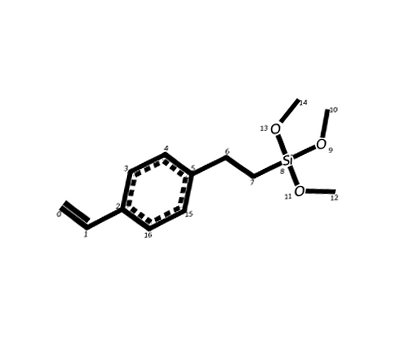 C=Cc1ccc(CC[Si](OC)(OC)OC)cc1